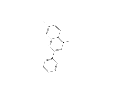 Cc1ccc2c(Cl)cc(-c3ccccc3)nc2c1